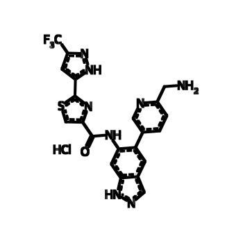 Cl.NCc1ccc(-c2cc3cn[nH]c3cc2NC(=O)c2csc(-c3cc(C(F)(F)F)n[nH]3)n2)cn1